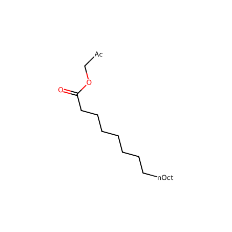 CCCCCCCCCCCCCCCC(=O)OCC(C)=O